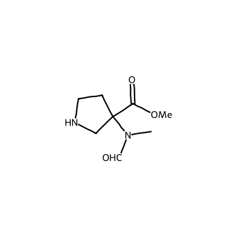 COC(=O)C1(N(C)C=O)CCNC1